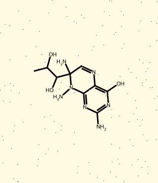 CC(O)C(O)C1(N)C=Nc2c(O)nc(N)nc2N1N